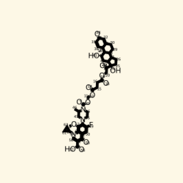 COc1c(N2CCN(C(=O)OCOC(=O)CCC(=O)OCC(=O)[C@@]3(O)CCC4C5CCC6=CC(=O)C=C[C@]6(C)C5[C@@H](O)C[C@@]43C)C(C)C2)c(F)cc2c(=O)c(C(=O)O)cn(C3CC3)c12